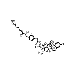 CCC(=O)O[C@@]1(C(=O)COC(=O)Oc2ccc(C[C@H](N)C(=O)OCCCCO[N+](=O)[O-])cc2)[C@@H](C)C[C@H]2[C@@H]3CCC4=CC(=O)C=C[C@]4(C)[C@@]3(F)[C@@H](O)C[C@@]21C